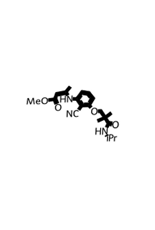 COC(=O)/C=C(/C)Nc1cccc(OCC(C)(C)C(=O)NC(C)C)c1C#N